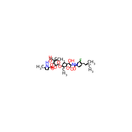 CC(C)=CCc1ccc(C(=O)Nc2c(O)c3ccc(O[C@@H]4OC(C)(C)[C@H](CO)[C@@H](OC(=O)c5ccc(C)[nH]5)[C@H]4O)c(C)c3oc2=O)cc1F